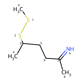 CSSC(C)CCC(C)=N